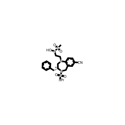 CCCS(=O)(=O)N1Cc2cc(C#N)ccc2N(CCN(O)S(C)(=O)=O)C[C@H]1Cc1ccccc1